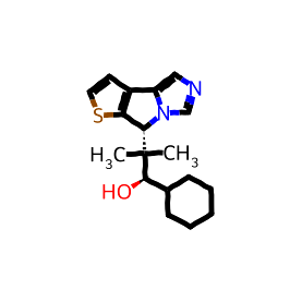 CC(C)([C@H](O)C1CCCCC1)[C@@H]1c2sccc2-c2cncn21